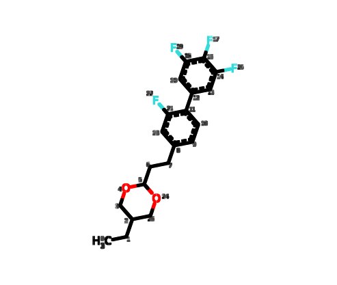 CCC1COC(CCc2ccc(-c3cc(F)c(F)c(F)c3)c(F)c2)OC1